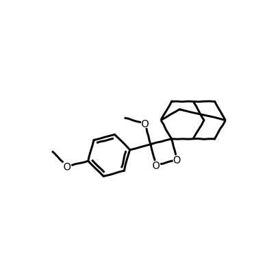 COc1ccc(C2(OC)OOC23C2CC4CC(C2)CC3C4)cc1